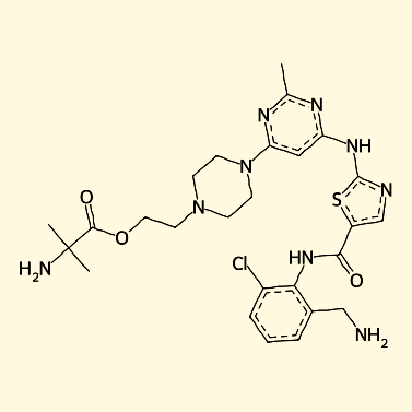 Cc1nc(Nc2ncc(C(=O)Nc3c(Cl)cccc3CN)s2)cc(N2CCN(CCOC(=O)C(C)(C)N)CC2)n1